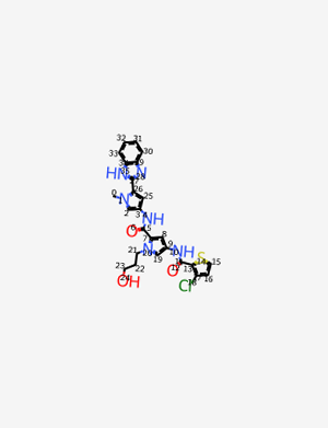 Cn1cc(NC(=O)c2cc(NC(=O)c3sccc3Cl)cn2CCCO)cc1-c1nc2ccccc2[nH]1